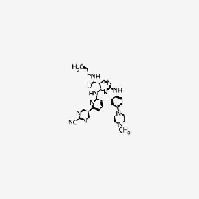 C=CCNC(=O)c1cnc(Nc2ccc(N3CCN(C)CC3)cc2)nc1Nc1cccc(-c2cnc(C#N)nc2)n1